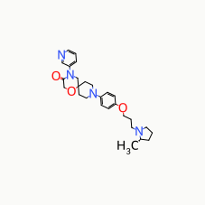 C[C@@H]1CCCN1CCCOc1ccc(N2CCC3(CC2)CN(c2cccnc2)C(=O)CO3)cc1